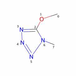 COc1nnnn1C